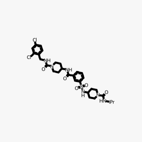 CC(C)NC(=O)N1CCC(NS(=O)(=O)c2cccc(C(=O)NC3CCN(C(=O)NCc4ccc(Cl)cc4Cl)CC3)c2)CC1